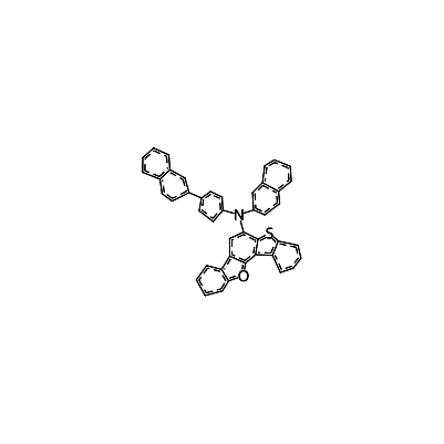 c1ccc2cc(-c3ccc(N(c4ccc5ccccc5c4)c4cc5c6ccccc6oc5c5c4sc4ccccc45)cc3)ccc2c1